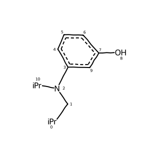 CC(C)CN(c1cccc(O)c1)C(C)C